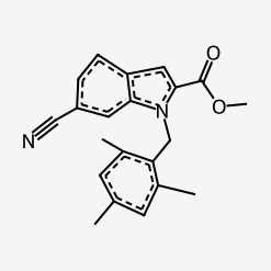 COC(=O)c1cc2ccc(C#N)cc2n1Cc1c(C)cc(C)cc1C